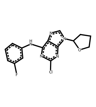 Fc1cccc(Nc2nc(Cl)nc3c2ncn3C2CCCO2)c1